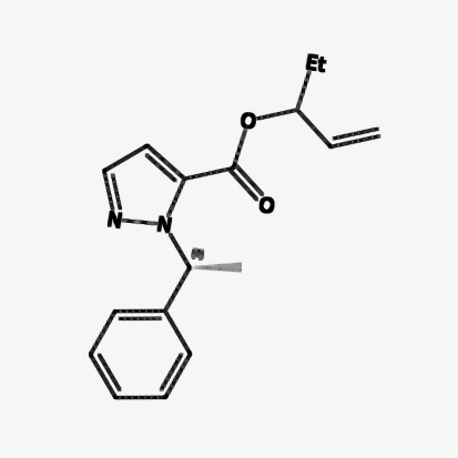 C=CC(CC)OC(=O)c1ccnn1[C@H](C)c1ccccc1